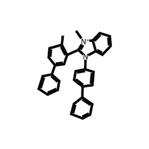 Cc1ccc(-c2ccccc2)cc1-c1n(-c2ccc(-c3ccccc3)cc2)c2ccccc2[n+]1C